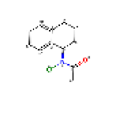 CC(=O)N(Cl)[C@@H]1CCCc2ccccc21